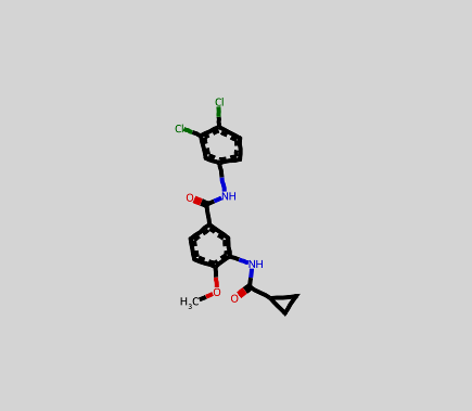 COc1ccc(C(=O)Nc2ccc(Cl)c(Cl)c2)cc1NC(=O)C1CC1